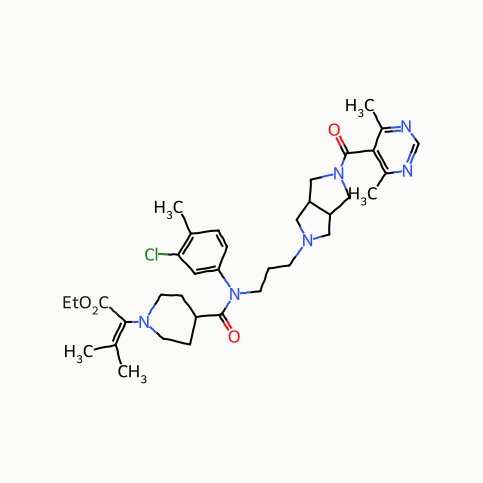 CCOC(=O)C(=C(C)C)N1CCC(C(=O)N(CCCN2CC3CN(C(=O)c4c(C)ncnc4C)CC3C2)c2ccc(C)c(Cl)c2)CC1